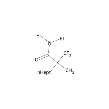 CCCCCCCC(C)(C(=O)N(CC)CC)C(F)(F)F